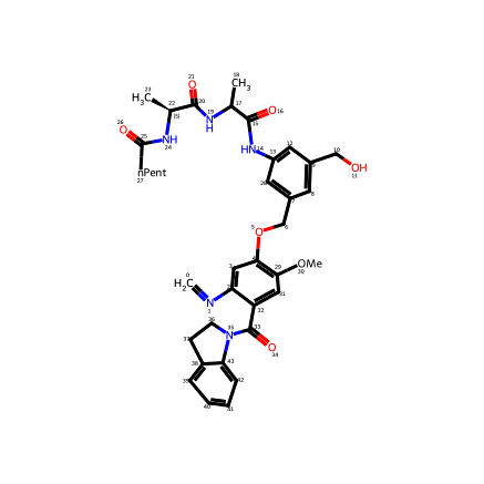 C=Nc1cc(OCc2cc(CO)cc(NC(=O)C(C)NC(=O)[C@H](C)NC(=O)CCCCC)c2)c(OC)cc1C(=O)N1CCc2ccccc21